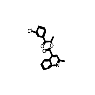 Cc1cc(C(=O)OC(C)C(=O)c2cccc(Cl)c2)c2ccccc2n1